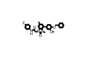 COc1cc(-c2cc(C)cc3c2n(C)c(=O)n3CC(=O)Nc2ccc(F)cc2)ccc1OCc1ccccc1